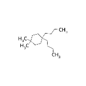 CCCCC1(CCCC)CCC(C)(C)CC1